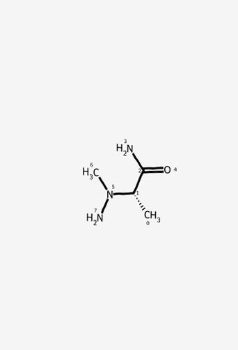 C[C@@H](C(N)=O)N(C)N